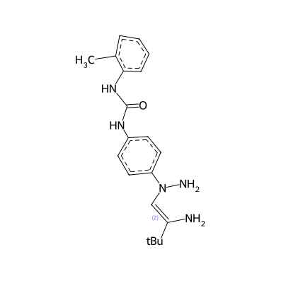 Cc1ccccc1NC(=O)Nc1ccc(N(N)/C=C(\N)C(C)(C)C)cc1